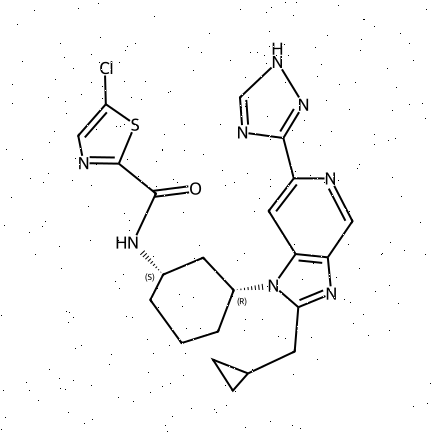 O=C(N[C@H]1CCC[C@@H](n2c(CC3CC3)nc3cnc(-c4nc[nH]n4)cc32)C1)c1ncc(Cl)s1